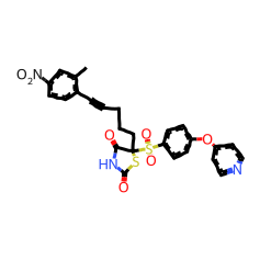 Cc1cc([N+](=O)[O-])ccc1C#CCCCC1(S(=O)(=O)c2ccc(Oc3ccncc3)cc2)SC(=O)NC1=O